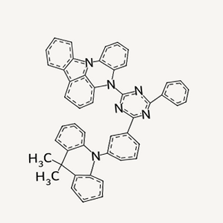 CC1(C)c2ccccc2N(c2cccc(-c3nc(-c4ccccc4)nc(N4c5ccccc5-n5c6ccccc6c6cccc4c65)n3)c2)c2ccccc21